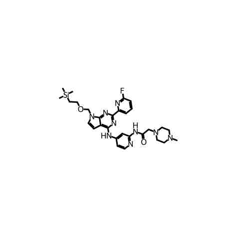 CN1CCN(CC(=O)Nc2cc(Nc3nc(-c4cccc(F)n4)nc4c3ccn4COCC[Si](C)(C)C)ccn2)CC1